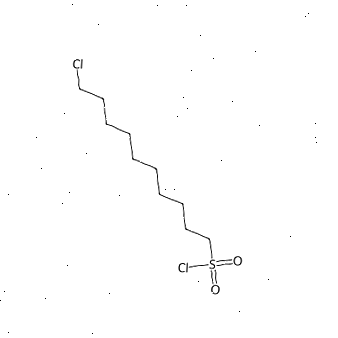 O=S(=O)(Cl)CCCCCCCCCCCl